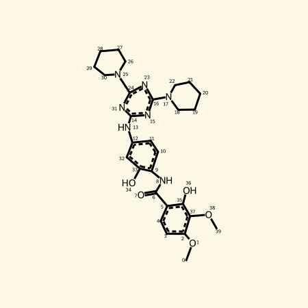 COc1ccc(C(=O)Nc2ccc(Nc3nc(N4CCCCC4)nc(N4CCCCC4)n3)cc2O)c(O)c1OC